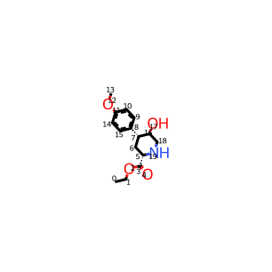 CCOC(=O)[C@@H]1C[C@H](c2ccc(OC)cc2)[C@@H](O)CN1